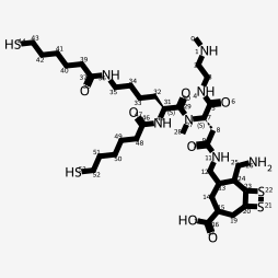 CNCCNC(=O)[C@H](CC(=O)NCC1CC(C(=O)O)CC2SSC2C1CN)N(C)C(=O)[C@H](CCCCNC(=O)CCCCCS)NC(=O)CCCCCS